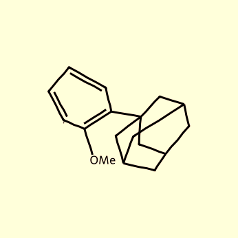 COc1[c]cccc1C12CC3CC(CC(C3)C1)C2